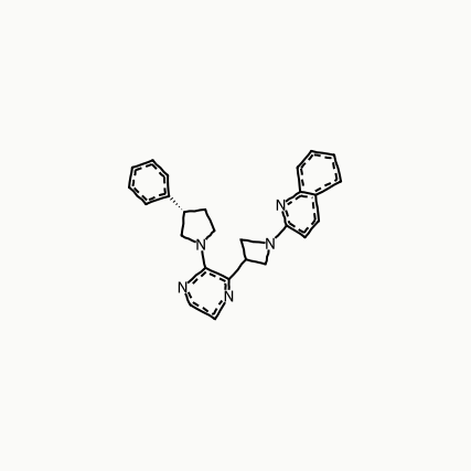 c1ccc([C@@H]2CCN(c3nccnc3C3CN(c4ccc5ccccc5n4)C3)C2)cc1